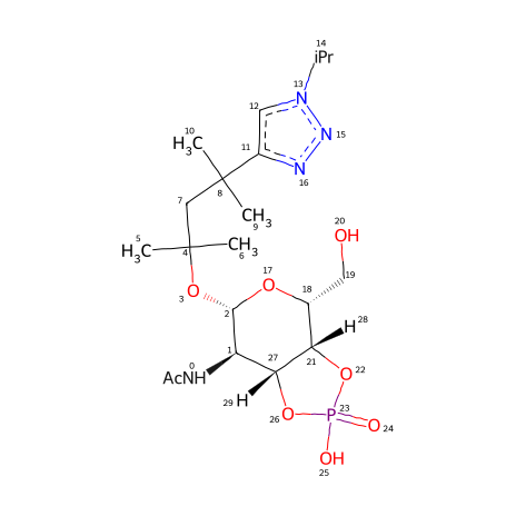 CC(=O)N[C@H]1[C@H](OC(C)(C)CC(C)(C)c2cn(C(C)C)nn2)O[C@H](CO)[C@@H]2OP(=O)(O)O[C@H]12